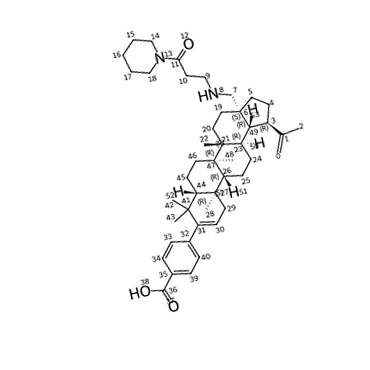 C=C(C)[C@@H]1CC[C@]2(CNCCC(=O)N3CCCCC3)CC[C@]3(C)[C@H](CC[C@@H]4[C@@]5(C)CC=C(c6ccc(C(=O)O)cc6)C(C)(C)[C@@H]5CC[C@]43C)[C@@H]12